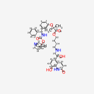 CC(C)(Oc1cccc(C(NC(=O)O[C@H]2CN3CCC2CC3)c2ccccc2)c1)C(=O)OCCCCNC[C@H](O)c1ccc(O)c2[nH]c(=O)ccc12